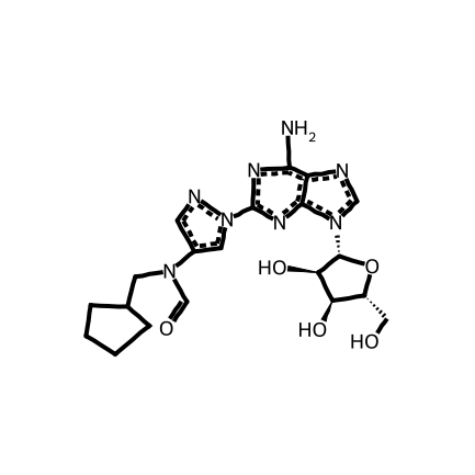 Nc1nc(-n2cc(N(C=O)CC3CCCC3)cn2)nc2c1ncn2[C@@H]1O[C@H](CO)[C@@H](O)[C@H]1O